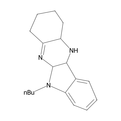 CCCCN1c2ccccc2C2NC3CCCCC3=NC21